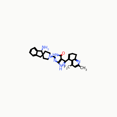 Cc1cc(C(F)(F)F)c2c(n1)CCC=C2c1n[nH]c2nc(N3CCC4(CC3)Cc3ccccc3[C@H]4N)[nH]c(=O)c12